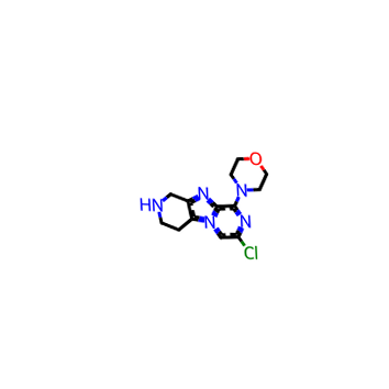 Clc1cn2c3c(nc2c(N2CCOCC2)n1)CNCC3